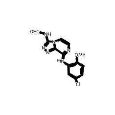 COc1ccc(Cl)cc1Nc1nccn2c(NC=O)nnc12